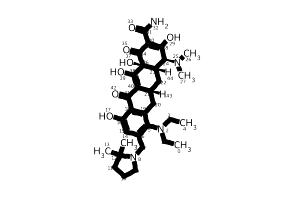 CCN(CC)c1c(CN2CCCC2(C)C)cc(O)c2c1C[C@H]1C[C@H]3[C@H](N(C)C)C(O)=C(C(N)=O)C(=O)[C@@]3(O)C(O)=C1C2=O